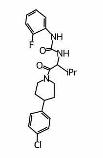 CC(C)C(NC(=O)Nc1ccccc1F)C(=O)N1CCC(c2ccc(Cl)cc2)CC1